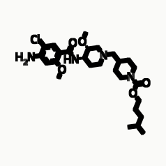 COc1cc(N)c(Cl)cc1C(=O)N[C@H]1CCN(CC2CCN(C(=O)OCCCC(C)C)CC2)C[C@H]1OC